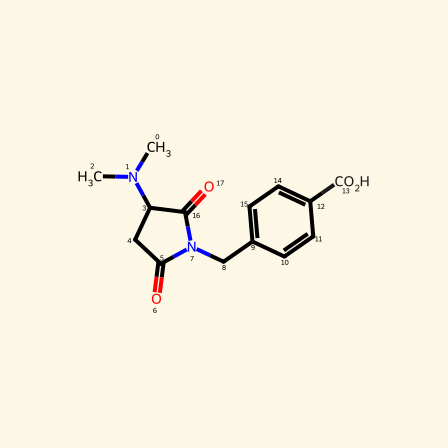 CN(C)C1CC(=O)N(Cc2ccc(C(=O)O)cc2)C1=O